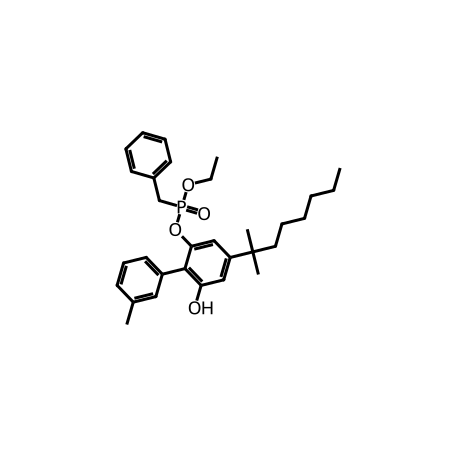 CCCCCCC(C)(C)c1cc(O)c(-c2cccc(C)c2)c(OP(=O)(Cc2ccccc2)OCC)c1